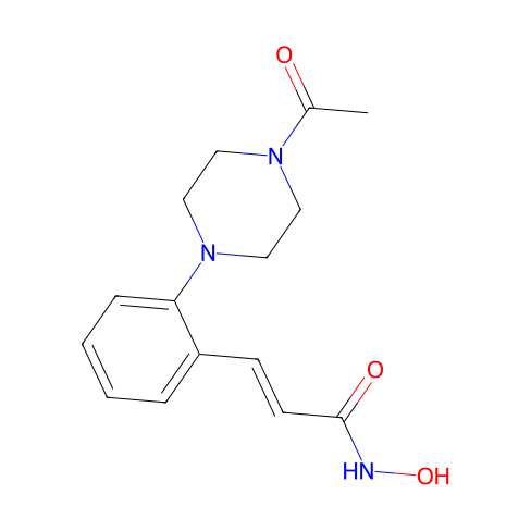 CC(=O)N1CCN(c2ccccc2/C=C/C(=O)NO)CC1